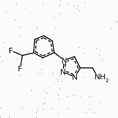 NCc1cn(-c2cccc(C(F)F)c2)nn1